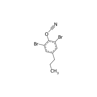 CCCc1cc(Br)c(OC#N)c(Br)c1